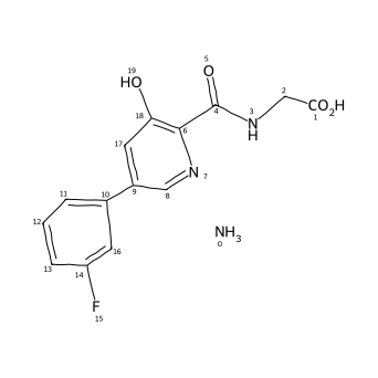 N.O=C(O)CNC(=O)c1ncc(-c2cccc(F)c2)cc1O